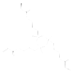 C=CC(=O)OCCC[Si]1(C)O[Si](C)(CCCOC(=O)C=C)O[Si](C)(CCCOC(=O)C=C)O1